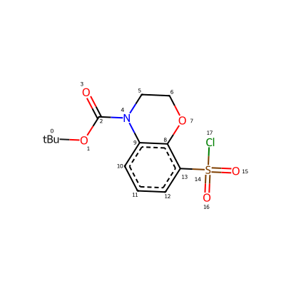 CC(C)(C)OC(=O)N1CCOc2c1cccc2S(=O)(=O)Cl